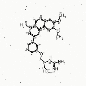 CC[C@@H](COc1cncc(-c2cc3c(cnc4cc(OC)c(OC)cc43)c(N)n2)c1)NC(=N)N